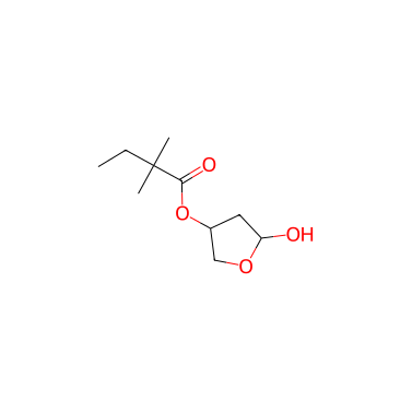 CCC(C)(C)C(=O)OC1COC(O)C1